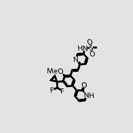 COc1c(/C=C/c2ccc(NS(C)(=O)=O)cn2)cc(-c2ccc[nH]c2=O)cc1C1(C(F)F)CC1